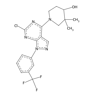 CC1(C)CN(c2nc(Cl)nc3c2cnn3-c2cccc(C(F)(F)F)c2)CCC1O